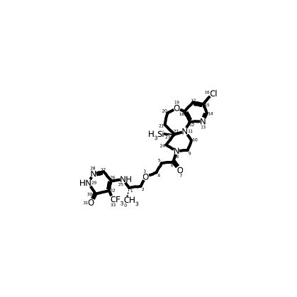 C[C@@H](COCCC(=O)N1CCN2c3ncc(Cl)cc3OCC[C@@]2([SiH3])C1)Nc1cn[nH]c(=O)c1C(F)(F)F